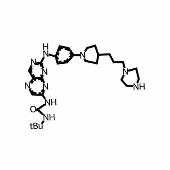 CC(C)(C)NC(=O)Nc1cnc2cnc(Nc3ccc(N4CCC(CCCN5CCNCC5)CC4)cc3)nc2n1